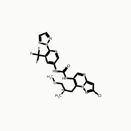 COC[C@H](C)Cc1c(NC(=O)Nc2cnc(-n3nccn3)c(C(F)(F)F)c2)cnc2cc(Cl)nn12